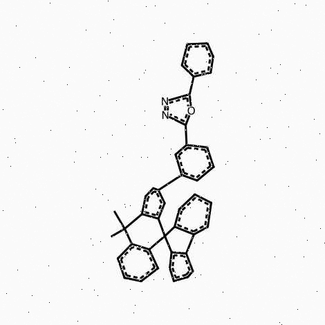 CC1(C)c2ccccc2C2(c3ccccc3-c3ccccc32)c2cc(-c3cccc(-c4nnc(-c5ccccc5)o4)c3)ccc21